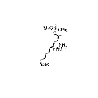 CCCCCCCCCCCCCCCCCCC(C)O[Si](C)(OC)OC.CCCN.Cl